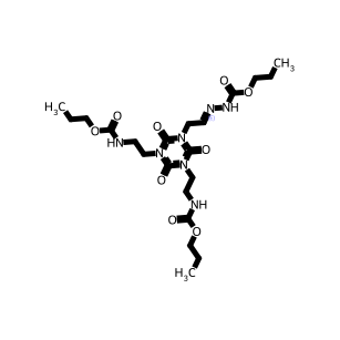 CCCOC(=O)NCCn1c(=O)n(C/C=N/NC(=O)OCCC)c(=O)n(CCNC(=O)OCCC)c1=O